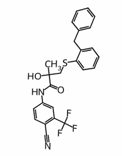 CC(O)(CSc1ccccc1Cc1ccccc1)C(=O)Nc1ccc(C#N)c(C(F)(F)F)c1